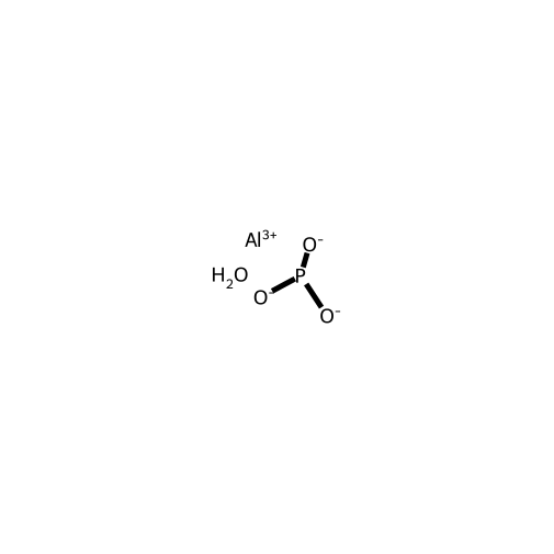 O.[Al+3].[O-]P([O-])[O-]